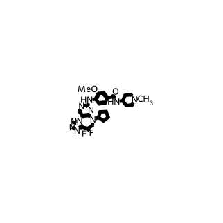 COc1cc(C(=O)NC2CCN(C)CC2)ccc1Nc1ncc2c(n1)N(C1CCCC1)CC(F)(F)c1nnnn1-2